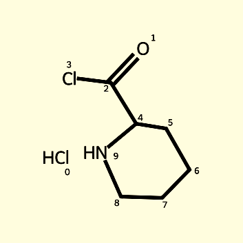 Cl.O=C(Cl)C1CCCCN1